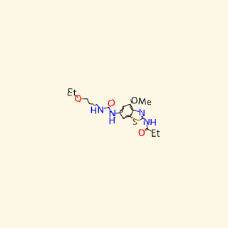 CCOCCCNC(=O)Nc1cc(OC)c2nc(NC(=O)CC)sc2c1